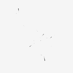 OC[C@H]1O[C@@H]2SC(N3CC[C@@H](F)C3)=N[C@@H]2[C@@H](O)[C@@H]1O